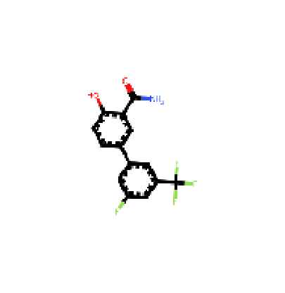 NC(=O)c1cc(-c2cc(F)cc(C(F)(F)F)c2)ccc1O